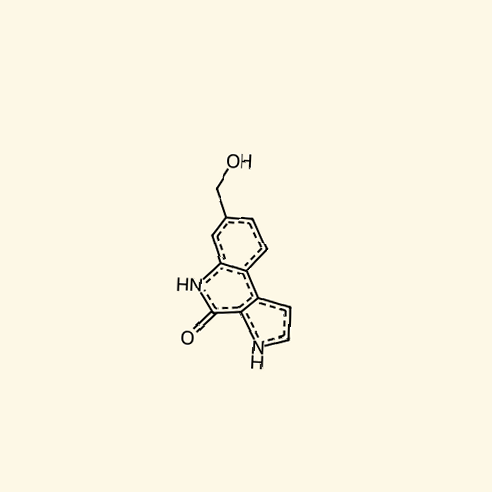 O=c1[nH]c2cc(CO)ccc2c2cc[nH]c12